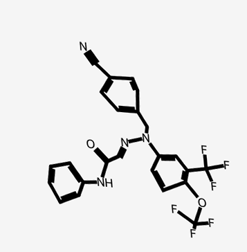 N#Cc1ccc(CN(N=CC(=O)Nc2ccccc2)c2ccc(OC(F)(F)F)c(C(F)(F)F)c2)cc1